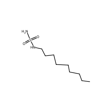 CCCCCCCCCNS(N)(=O)=O